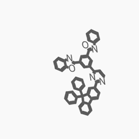 c1ccc(C2(c3ccccc3)c3ccccc3-c3ccc(-c4nccc(-c5cc(-c6nc7ccccc7o6)cc(-c6nc7ccccc7o6)c5)n4)cc32)cc1